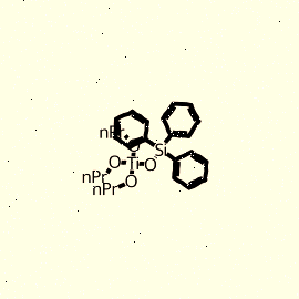 CCC[O][Ti]([O]CCC)([O]CCC)[O][Si](c1ccccc1)(c1ccccc1)c1ccccc1